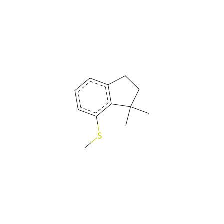 CSc1cccc2c1C(C)(C)CC2